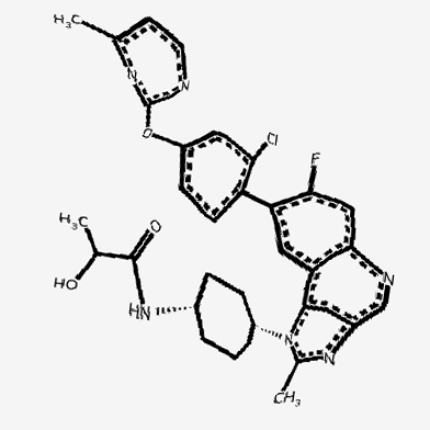 Cc1ccnc(Oc2ccc(-c3cc4c(cc3F)ncc3nc(C)n([C@H]5CC[C@@H](NC(=O)C(C)O)CC5)c34)c(Cl)c2)n1